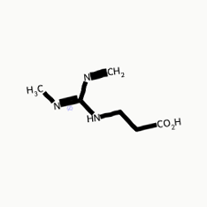 C=N/C(=N\C)NCCC(=O)O